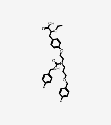 CCOC(Cc1ccc(OCCN(CCCOCc2ccc(F)cc2)C(=O)NCc2ccc(F)cc2)cc1)C(=O)O